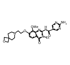 CCn1c(NC(=O)c2cnc(N)nc2)nc2c(OC)c(OCCN3CCC4(CC3)COC4)ccc2c1=O